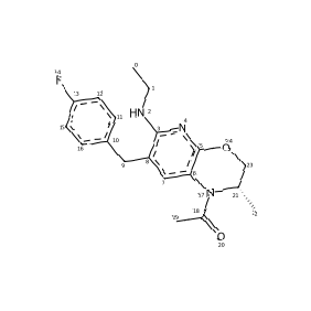 CCNc1nc2c(cc1Cc1ccc(F)cc1)N(C(C)=O)[C@@H](C)CO2